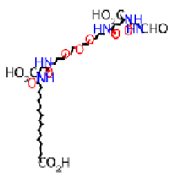 O=CNCC(=O)N[C@@H](CCC(=O)NCCCOCCOCCOCCCNC(=O)C[C@H](NC(=O)CCCCCCCCCCCCCCCCC(=O)O)C(=O)O)C(=O)O